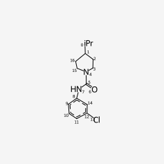 CC(C)C1CCN(C(=O)Nc2cccc(Cl)c2)CC1